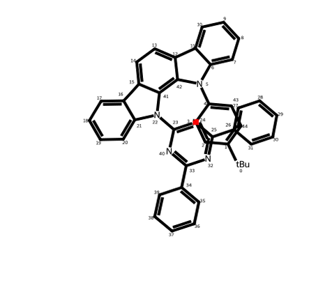 CC(C)(C)c1ccc(-n2c3ccccc3c3ccc4c5ccccc5n(-c5nc(-c6ccccc6)nc(-c6ccccc6)n5)c4c32)cc1